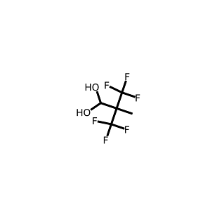 CC(C(O)O)(C(F)(F)F)C(F)(F)F